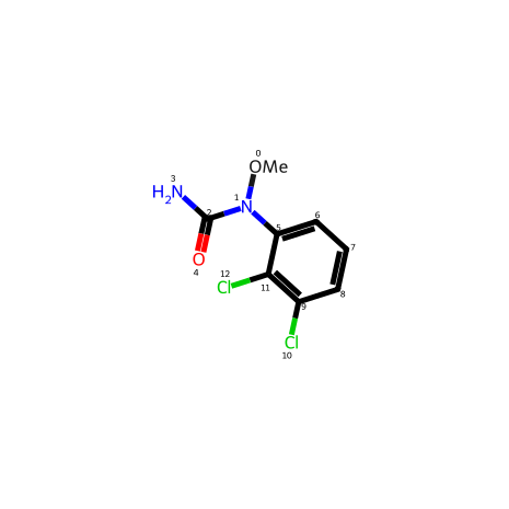 CON(C(N)=O)c1cccc(Cl)c1Cl